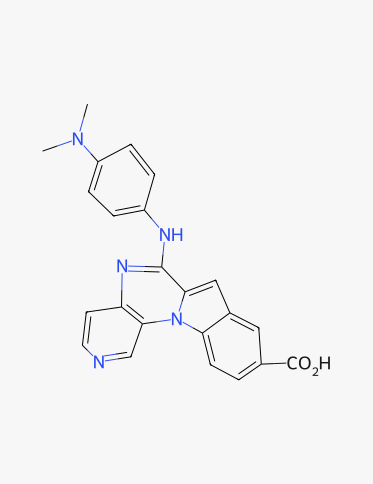 CN(C)c1ccc(Nc2nc3ccncc3n3c2cc2cc(C(=O)O)ccc23)cc1